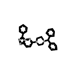 c1ccc(-c2nnc3ccc(N4CCN(C(c5ccccc5)c5ccccc5)CC4)nn23)cc1